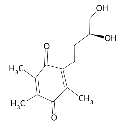 CC1=C(C)C(=O)C(CC[C@H](O)CO)=C(C)C1=O